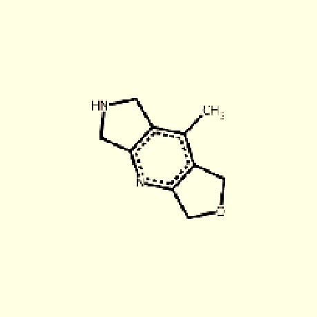 Cc1c2c(nc3c1COC3)CNC2